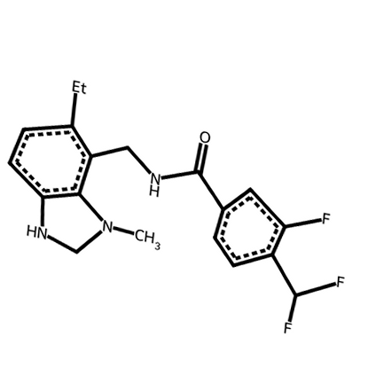 CCc1ccc2c(c1CNC(=O)c1ccc(C(F)F)c(F)c1)N(C)CN2